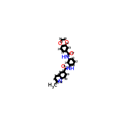 Cc1ccc2cc(C(=O)Nc3cccc(NC(=O)c4ccc5c(c4)OCCO5)c3)ccc2n1